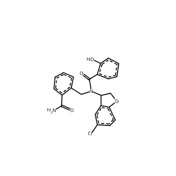 NC(=O)c1ccccc1CN(C(=O)c1ccccc1O)C1COc2ccc(Cl)cc21